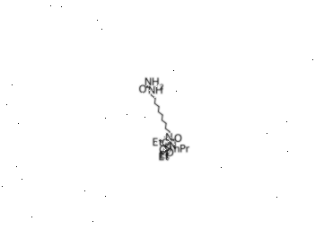 CCCN(C(=O)[N]CCCCCCCCCCNC(N)=O)[Si](OCC)(OCC)OCC